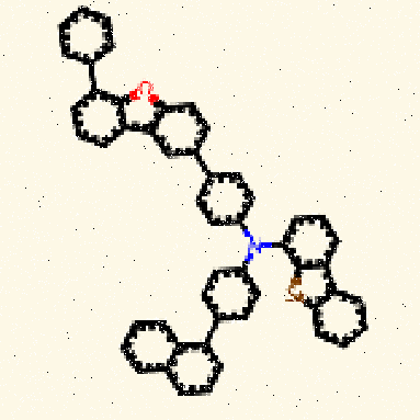 c1ccc(-c2cccc3c2oc2ccc(-c4ccc(N(c5ccc(-c6cccc7ccccc67)cc5)c5cccc6c5sc5ccccc56)cc4)cc23)cc1